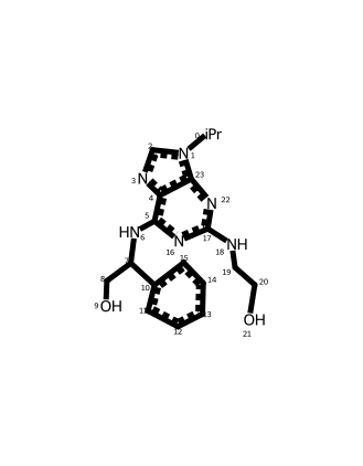 CC(C)n1cnc2c(NC(CO)c3ccccc3)nc(NCCO)nc21